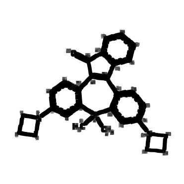 CS1(C)c2cc(N3CCC3)ccc2C2=C(c3ccccc3C2=O)c2ccc(N3CCC3)cc21